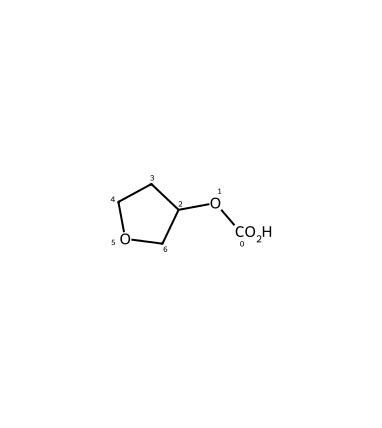 O=C(O)OC1CCOC1